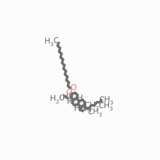 C=CC[C@@H]1[C@H](OC(=O)CCCCCCCCCCCCCCCCC)CC[C@@]2(C)[C@H]1CC[C@@H]1[C@@H]2CC[C@]2(C)[C@@H]([C@H](C)CCCC(C)C)CC[C@@H]12